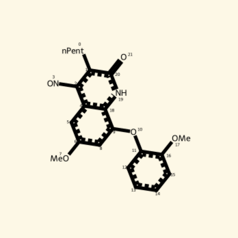 CCCCCc1c(N=O)c2cc(OC)cc(Oc3ccccc3OC)c2[nH]c1=O